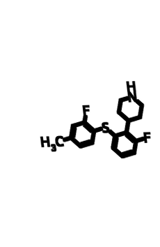 Cc1ccc(Sc2cccc(F)c2C2CCNCC2)c(F)c1